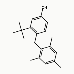 Cc1cc(C)c(Cc2ccc(O)cc2C(C)(C)C)c(C)c1